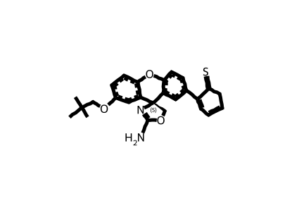 CC(C)(C)COc1ccc2c(c1)[C@]1(COC(N)=N1)c1cc(C3=CC=CCC3=S)ccc1O2